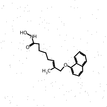 CC(=CCCCCC(=O)NO)COc1cccc2ccccc12